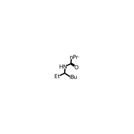 CC[CH]C(=O)NC(CC)C(C)CC